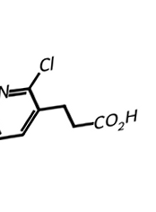 O=C(O)CCc1cccnc1Cl